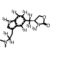 [2H]c1c(C([2H])([2H])[C@H]2COC(=O)N2[2H])c([2H])c2c(CC([2H])([2H])N(C)C)cn([2H])c2c1[2H]